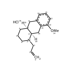 C=CCN1CCC[C@H]2Cc3cccc(OC)c3C[C@H]21.Cl